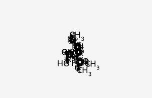 COC1=C(F)C(N(CC2CCC(=O)N2CCO)c2ccc3ncc(-c4cnn(C)c4)nc3n2)=CC(OC)C1